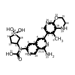 Cc1c(-c2cc3cc(N(C(=O)O)C4CCS(O)(O)C4)ncc3c(N)n2)cnc2c1NCCO2